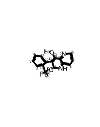 O=c1[nH]c2cccnc2c(O)c1-c1ccccc1C(F)(F)F